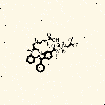 COC(CN(C)S(=O)(=O)NC(=O)c1ccc2c(C3CCCCC3)c3n(c2c1)CC(CN(C)CCN(C)C(=O)O)N(C)c1ccccc1-3)OC